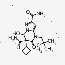 CC(C)(C)CN1C(=O)C(C(N)=O)(C2CCC2)C(O)n2nc(C(N)=O)cc21